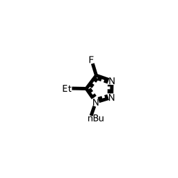 CCCCn1nnc(F)c1CC